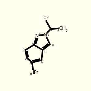 CC(C)c1ccc2nn(C(C)F)cc2c1